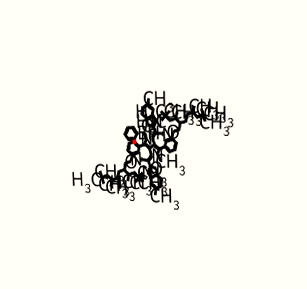 CC1=CC2N=C(/C(C#N)=c3/c4c(-c5cccc(OCC(CCC(C)CC(C)(C)C)C(C)CC(C)(C)C)c5)n(Bc5ccccc5)/c(=C(/C#N)c5nc6cc(C)ccc6o5)c4c(-c4cccc(OCC(CCC(C)CC(C)(C)C)C(C)CC(C)(C)C)c4)n3C)OC2C=C1